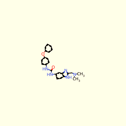 CN(C)Cc1nc2cc(NC(=O)Nc3ccc(Oc4ccccc4)cc3)ccc2[nH]1